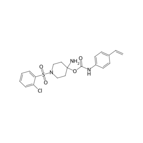 C=Cc1ccc(NC(=O)OC2(N)CCN(S(=O)(=O)c3ccccc3Cl)CC2)cc1